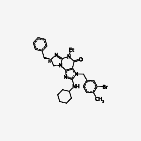 CCN1C(=O)c2c(nc(NC3CCCCC3)n2Cc2ccc(C)c(Br)c2)N2C[C@@H](Cc3ccccc3)N=C12